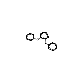 c1ccc(Cc2ccccc2Oc2ccccc2)cc1